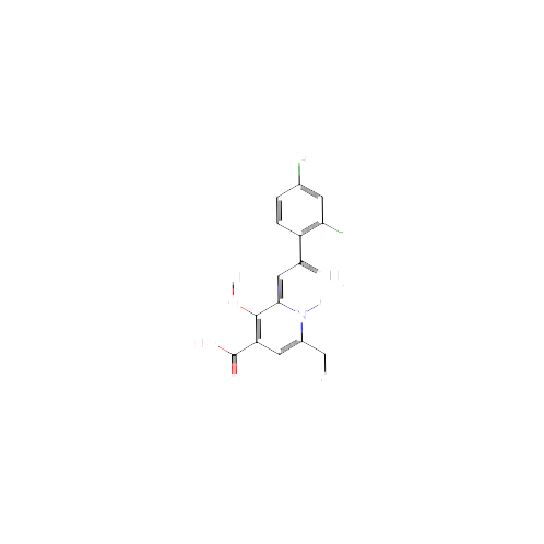 C=C(/C=C1/C(OC)=C(C(=O)O)C=C(CC)N1C)c1ccc(Br)cc1F